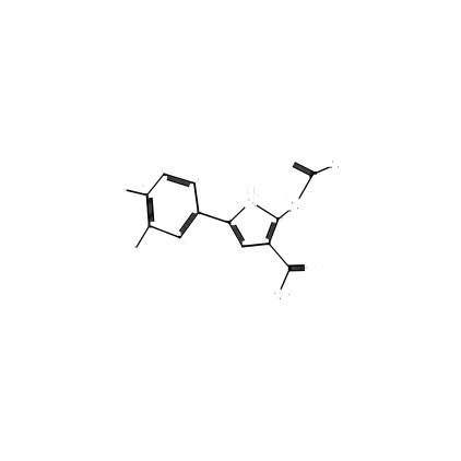 NC(=O)Nc1[nH]c(-c2ccc(O)c(Cl)c2)cc1C(N)=O